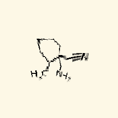 CC1CCCCC1(N)C#N